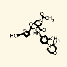 C#Cc1ccc(C(=O)NC2(C(=O)Nc3ccc(N4CCOCC4=O)c(C)c3)CCN(C(C)=O)C2)s1